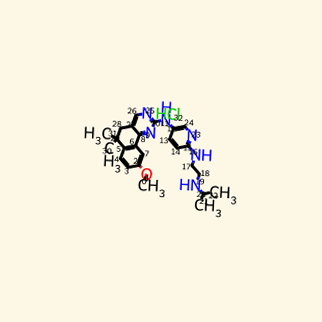 COc1ccc2c(c1)-c1nc(Nc3ccc(NCCNC(C)C)nc3)ncc1CC2(C)C.Cl